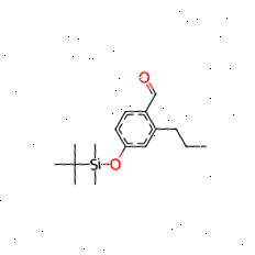 CCCc1cc(O[Si](C)(C)C(C)(C)C)ccc1C=O